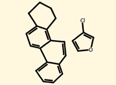 Clc1ccoc1.c1ccc2c(c1)ccc1c3c(ccc12)CCCC3